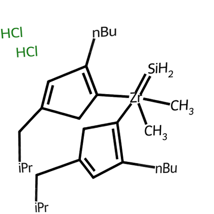 CCCCC1=[C]([Zr]([CH3])([CH3])(=[SiH2])[C]2=C(CCCC)C=C(CC(C)C)C2)CC(CC(C)C)=C1.Cl.Cl